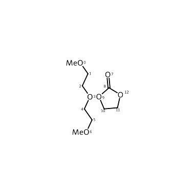 COCCOCCOC.O=C1OCCO1